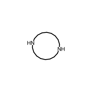 C1CCCCNCCCCCCCCNCCC1